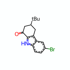 CC(C)(C)C1CC(=O)c2[nH]c3ccc(Br)cc3c2C1